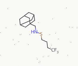 FC(F)(F)CCCSNCC12CC3CC(CC(C3)C1)C2